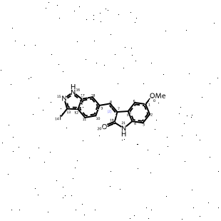 COc1ccc2c(c1)/C(=C/c1ccc3c(I)n[nH]c3c1)C(=O)N2